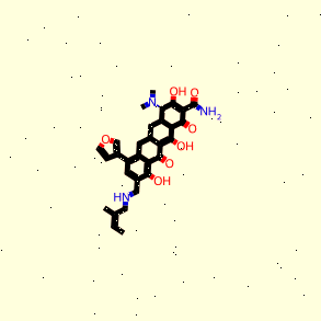 C/C=C(/C)CNCc1cc(-c2ccoc2)c2c(c1O)C(=O)C1=C(O)C3C(=O)C(C(N)=O)=C(O)[C@@H](N(C)C)C3CC1C2